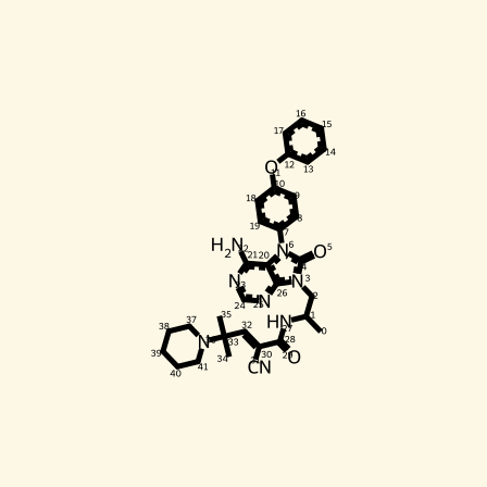 CC(Cn1c(=O)n(-c2ccc(Oc3ccccc3)cc2)c2c(N)ncnc21)NC(=O)C(C#N)=CC(C)(C)N1CCCCC1